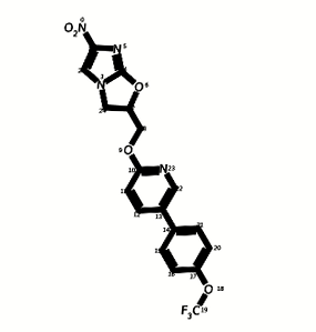 O=[N+]([O-])c1cn2c(n1)OC(COc1ccc(-c3ccc(OC(F)(F)F)cc3)cn1)C2